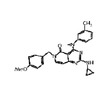 COc1ccc(Cn2ccc3nc(NC4CC4)nc(Nc4cccc(C)c4)c3c2=O)cc1